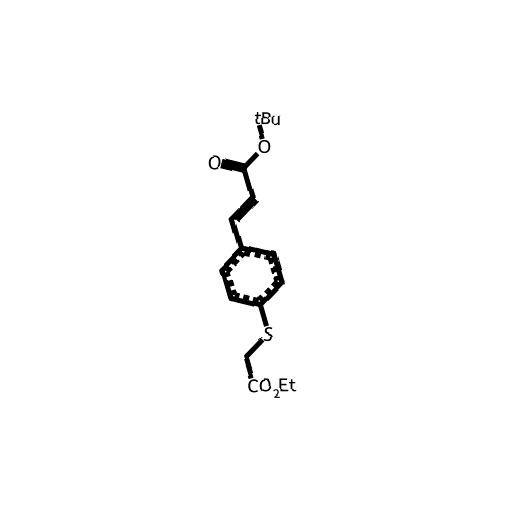 CCOC(=O)CSc1ccc(/C=C/C(=O)OC(C)(C)C)cc1